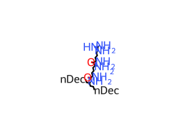 CCCCCCCCCCCCCC(CCCCCCCCCCCC)NC(=O)[C@@H](N)CCCC(N)C(=O)[C@@H](N)CCCNC(=N)N